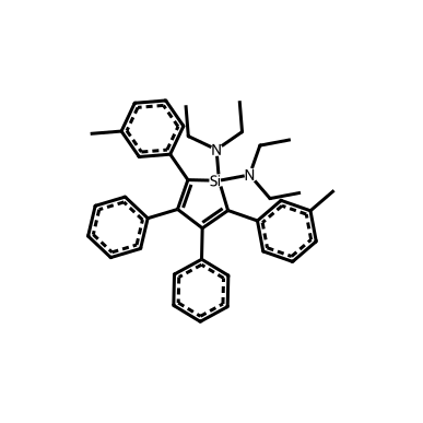 CCN(CC)[Si]1(N(CC)CC)C(c2cccc(C)c2)=C(c2ccccc2)C(c2ccccc2)=C1c1cccc(C)c1